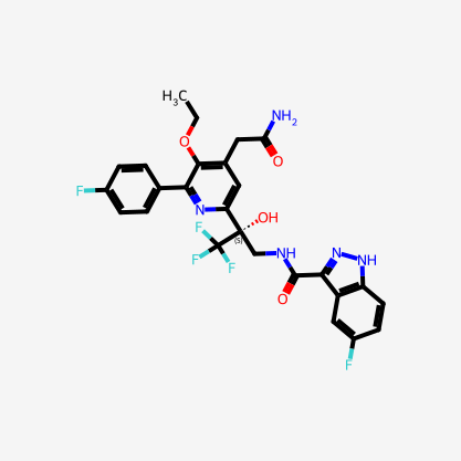 CCOc1c(CC(N)=O)cc([C@@](O)(CNC(=O)c2n[nH]c3ccc(F)cc23)C(F)(F)F)nc1-c1ccc(F)cc1